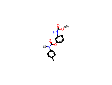 CCCOC(=O)Nc1cccc(OC(=O)N(CC)c2ccc(C)cc2)c1